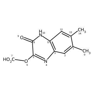 Cc1cc2nc(OC(=O)O)c(=O)[nH]c2cc1C